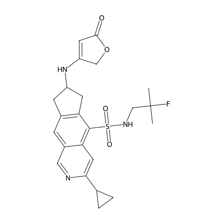 CC(C)(F)CNS(=O)(=O)c1c2c(cc3cnc(C4CC4)cc13)CC(NC1=CC(=O)OC1)C2